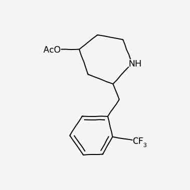 CC(=O)OC1CCNC(Cc2ccccc2C(F)(F)F)C1